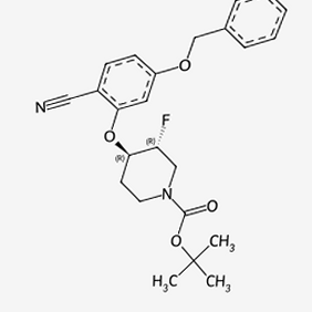 CC(C)(C)OC(=O)N1CC[C@@H](Oc2cc(OCc3ccccc3)ccc2C#N)[C@H](F)C1